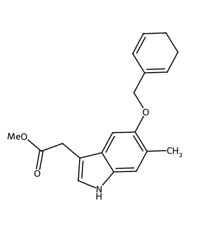 COC(=O)Cc1c[nH]c2cc(C)c(OCC3=CCCC=C3)cc12